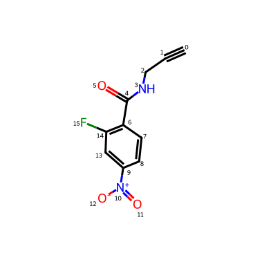 C#CCNC(=O)c1ccc([N+](=O)[O-])cc1F